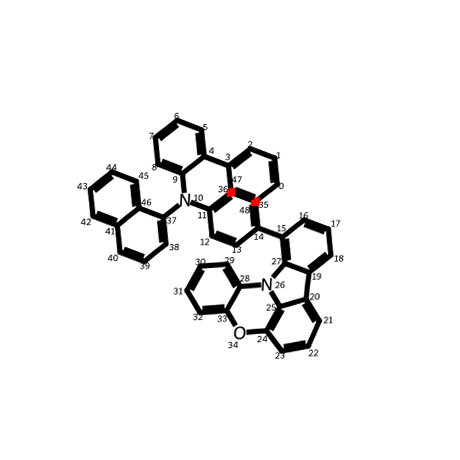 c1ccc(-c2ccccc2N(c2ccc(-c3cccc4c5cccc6c5n(c34)-c3ccccc3O6)cc2)c2cccc3ccccc23)cc1